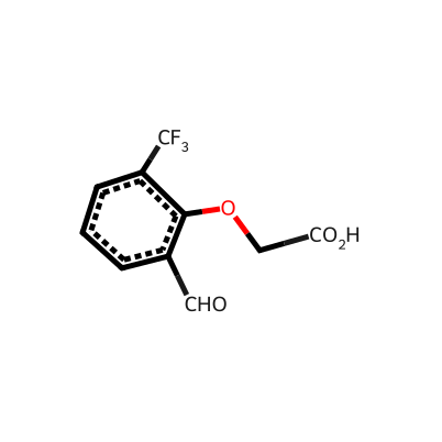 O=Cc1cccc(C(F)(F)F)c1OCC(=O)O